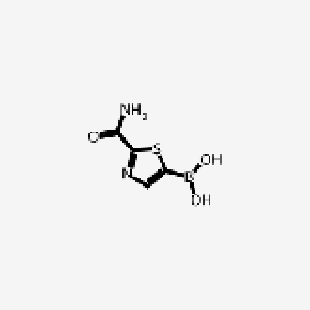 NC(=O)c1ncc(B(O)O)s1